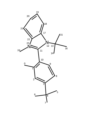 Cc1cc(C(C)(C)C)ccc1-c1n(C(C)(C)C)c2ccccc2[n+]1C